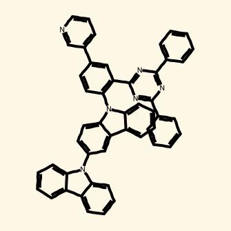 c1ccc(-c2nc(-c3ccccc3)nc(-c3cc(-c4cccnc4)ccc3-n3c4ccccc4c4cc(-n5c6ccccc6c6ccccc65)ccc43)n2)cc1